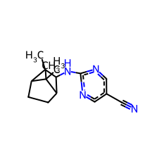 CC1C(Nc2ncc(C#N)cn2)C2CCC1C2(C)C